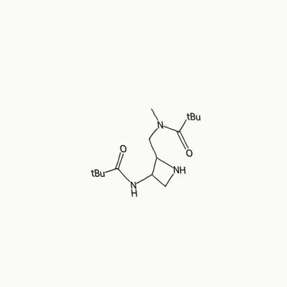 CN(CC1NCC1NC(=O)C(C)(C)C)C(=O)C(C)(C)C